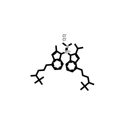 CC1=Cc2c(CCCC(C)C(C)(C)C)cccc2[CH]1[Zr+2]([CH]1C(C(C)C)=Cc2c(CCCC(C)C(C)(C)C)cccc21)=[Si](C)C.[Cl-].[Cl-]